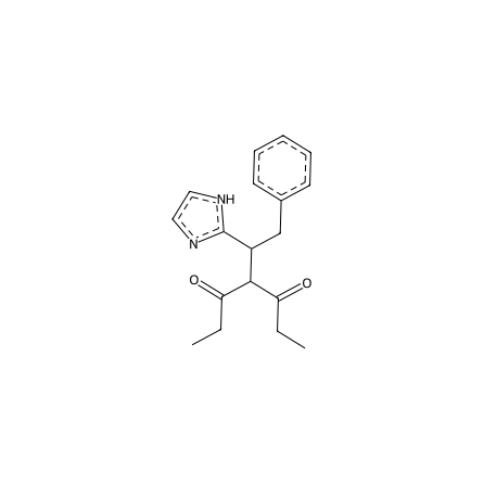 CCC(=O)C(C(=O)CC)C(Cc1ccccc1)c1ncc[nH]1